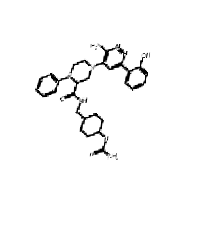 NC(=O)OC1CCC(CNC(=O)C2CN(c3cc(-c4ccccc4O)nnc3N)CCN2c2ccccc2)CC1